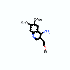 CCO/C=C/c1cnc2cc(OC)c(OC)cc2c1N